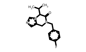 CC(C)C1C(=O)N(Cc2ccc(F)cc2)Cc2cncn21